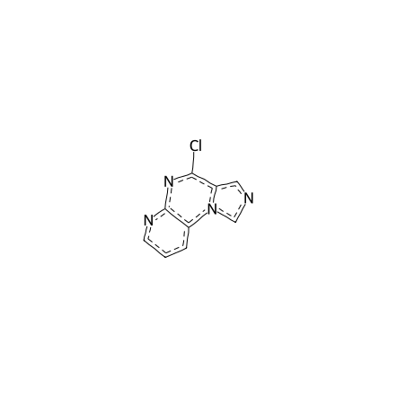 Clc1nc2ncccc2n2cncc12